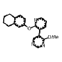 COc1ncncc1-c1cccnc1Oc1ccc2c(c1)CCCC2